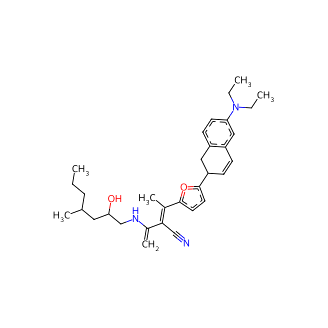 C=C(NCC(O)CC(C)CCC)/C(C#N)=C(\C)c1ccc(C2C=Cc3cc(N(CC)CC)ccc3C2)o1